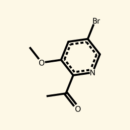 COc1cc(Br)cnc1C(C)=O